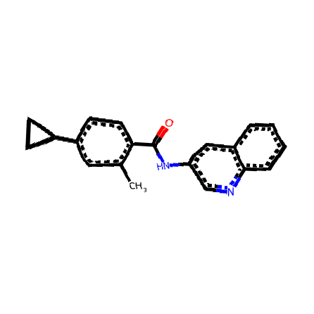 Cc1cc(C2CC2)ccc1C(=O)Nc1cnc2ccccc2c1